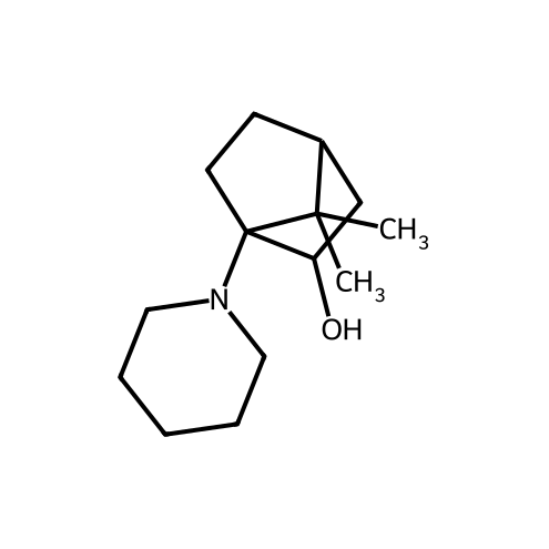 CC1(C)C2CCC1(N1CCCCC1)C(O)C2